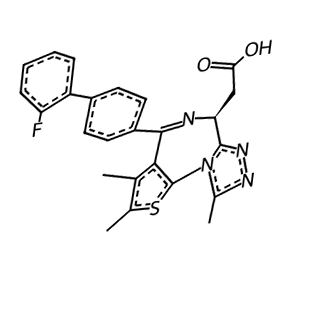 Cc1sc2c(c1C)C(c1ccc(-c3ccccc3F)cc1)=N[C@@H](CC(=O)O)c1nnc(C)n1-2